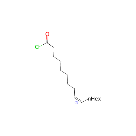 CCCCCC/C=C\CCCCCCCC(=O)Cl